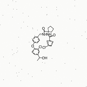 CC(O)c1ccc(Oc2ccc(CNC(=O)C3(NC(=O)c4ccc(Cl)s4)CCCC3)cc2)c(Cl)c1